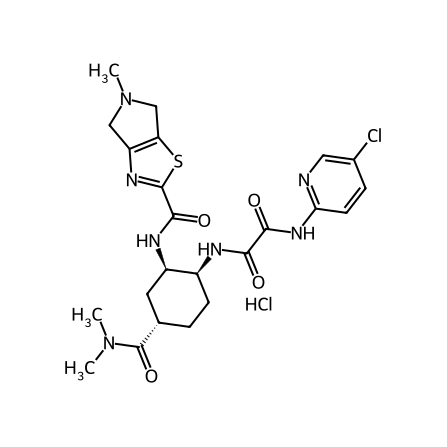 CN1Cc2nc(C(=O)N[C@@H]3C[C@@H](C(=O)N(C)C)CC[C@@H]3NC(=O)C(=O)Nc3ccc(Cl)cn3)sc2C1.Cl